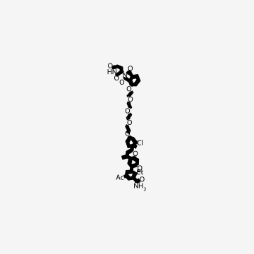 C=C1C=C(C2(C)CC=C(OCCOCCOCCOCCOc3cccc4c3C(=O)N(C3CCC(=O)NC3=O)C4=O)C=C2Cl)Oc2cc(OCC)c(-c3cc(C(C)=O)cc(C(N)=O)c3)cc21